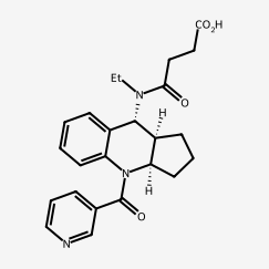 CCN(C(=O)CCC(=O)O)[C@H]1c2ccccc2N(C(=O)c2cccnc2)[C@@H]2CCC[C@@H]21